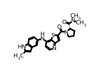 Cc1cc2cc(Nc3ccnc4cc(C(=O)N5CCC[C@H]5C(=O)N(C)C)sc34)ccc2[nH]1